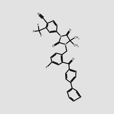 CC1(C)C(=O)N(c2ccc(C#N)c(C(F)(F)F)c2)C(=O)N1Cc1ccc(F)cc1C(=O)c1ccc(-c2ccccc2)cc1